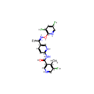 CC/C(=N/Oc1ncc(F)cc1F)c1ccc(NC(=O)c2cncc(F)c2C)nc1